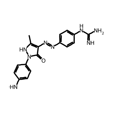 Cc1[nH]n(-c2ccc([NH])cc2)c(=O)c1N=Nc1ccc(NC(=N)N)cc1